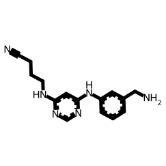 N#CCCCNc1cc(Nc2cccc(CN)c2)ncn1